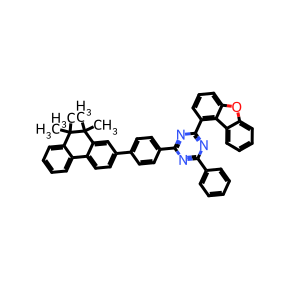 CC1(C)c2ccccc2-c2ccc(-c3ccc(-c4nc(-c5ccccc5)nc(-c5cccc6oc7ccccc7c56)n4)cc3)cc2C1(C)C